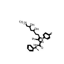 CC(C)c1c(C(=O)N[C@@H](C)c2ccccc2)nn(-c2ccc(F)cc2)c1CCC(O)CC(O)CC(=O)O